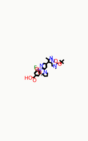 Cc1c(-c2cnc([N+](=O)[O-])c(N3CCC[C@@H]3c3cc(F)cc(C(=O)O)c3)c2)c(CN(C)C(=O)OC(C)(C)C)nn1C